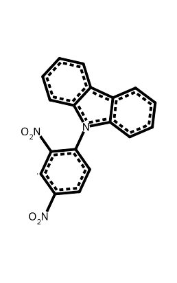 O=[N+]([O-])c1[c]c([N+](=O)[O-])c(-n2c3ccccc3c3ccccc32)cc1